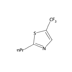 CC[CH]c1ncc(C(F)(F)F)s1